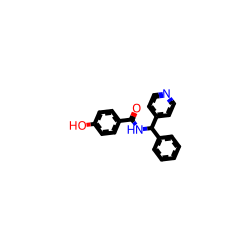 O=C(NC(c1ccccc1)c1ccncc1)c1ccc(O)cc1